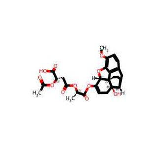 COc1ccc2c3c1O[C@H]1C(OC(=O)[C@H](C)OC(=O)C[C@H](OC(C)=O)C(=O)O)=CC[C@@]4(O)[C@H](CCC[C@]314)C2